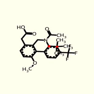 COc1ccc(CC(=O)O)c(CN(CC(C)(C)C)C(C)=O)c1-c1ccc(C(F)(F)F)cc1